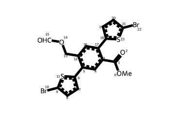 COC(=O)c1cc(-c2ccc(Br)s2)c(COC=O)cc1-c1ccc(Br)s1